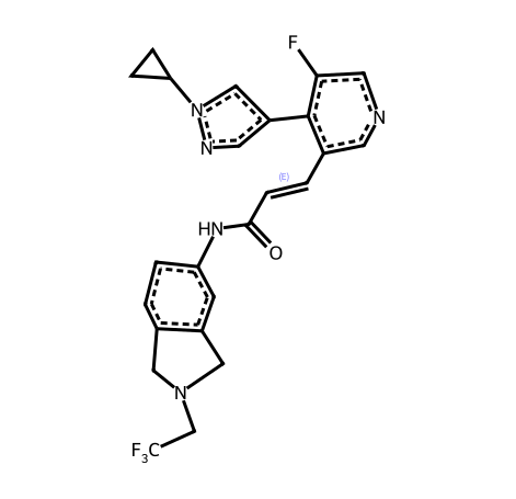 O=C(/C=C/c1cncc(F)c1-c1cnn(C2CC2)c1)Nc1ccc2c(c1)CN(CC(F)(F)F)C2